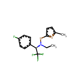 CCN(Sc1ccc(C)s1)[C@H](c1ccc(F)cc1)C(F)(F)F